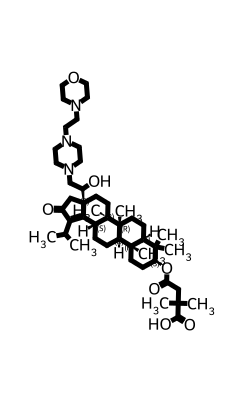 CC(C)C1=C2[C@H]3CC[C@@H]4[C@@]5(C)CC[C@H](OC(=O)CC(C)(C)C(=O)O)C(C)(C)[C@@H]5CC[C@@]4(C)[C@]3(C)CC[C@@]2(C(O)CN2CCN(CCN3CCOCC3)CC2)CC1=O